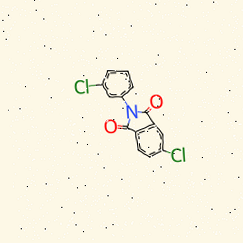 O=C1c2ccc(Cl)cc2C(=O)N1c1cccc(Cl)c1